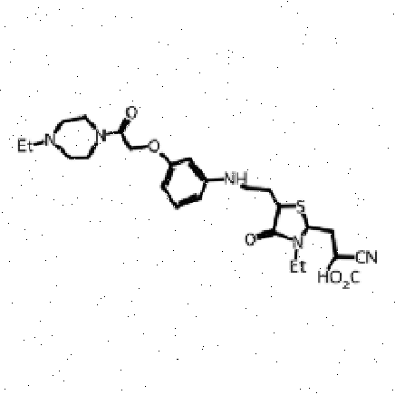 CCN1CCN(C(=O)COc2cccc(NCCC3SC(CC(C#N)C(=O)O)N(CC)C3=O)c2)CC1